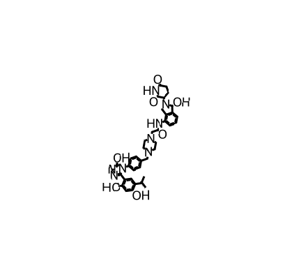 CC(C)c1cc(-c2nnc(O)n2-c2ccc(CN3CCN(CC(=O)Nc4cccc5c4CN(C4CCC(=O)NC4=O)C5O)CC3)cc2)c(O)cc1O